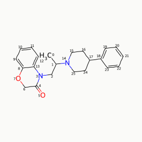 CC(CN1C(=O)COc2ccccc21)N1CCC(c2ccccc2)CC1